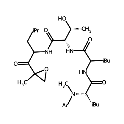 CCC(C)C(NC(=O)[C@H]([C@@H](C)CC)N(C)C(C)=O)C(=O)N[C@H](C(=O)NC(CC(C)C)C(=O)C1(C)CO1)[C@@H](C)O